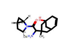 CC1(C(N)C(=O)N2[C@H](C#N)C[C@@H]3C[C@@H]32)CC2C=CCC(O)(C2)C1